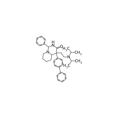 CC(C)N(CCC1(c2ccc(-c3ccccc3)cc2)C(=O)NC(c2ccccc2)N2CCCCC21)C(C)C